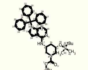 CC(C)(C)OC(=O)N1C[C@H](Nc2ncnc3c2ccn3C(c2ccccc2)(c2ccccc2)c2ccccc2)C[C@H](O[Si](C)(C)C(C)(C)C)C1